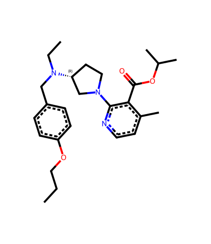 CCCOc1ccc(CN(CC)[C@@H]2CCN(c3nccc(C)c3C(=O)OC(C)C)C2)cc1